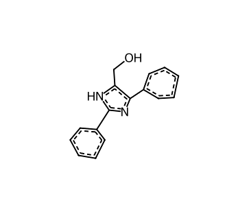 OCc1[nH]c(-c2ccccc2)nc1-c1ccccc1